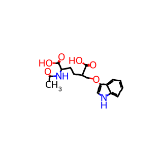 CC(=O)NC(CCC(COc1c[nH]c2ccccc12)C(=O)O)C(=O)O